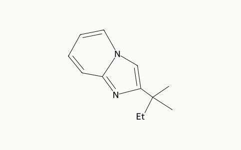 CCC(C)(C)c1cn2ccccc2n1